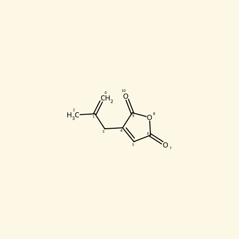 C=C(C)CC1=CC(=O)OC1=O